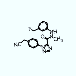 CN(Nc1cccc(CF)c1)C(=O)c1ncnn1-c1ccc(CC#N)cc1